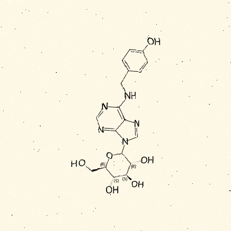 OC[C@H]1OC(n2cnc3c(NCc4ccc(O)cc4)ncnc32)[C@H](O)[C@@H](O)[C@@H]1O